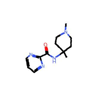 CN1CCC(C)(NC(=O)c2ncccn2)CC1